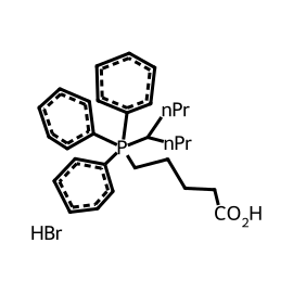 Br.CCCC(CCC)P(CCCCC(=O)O)(c1ccccc1)(c1ccccc1)c1ccccc1